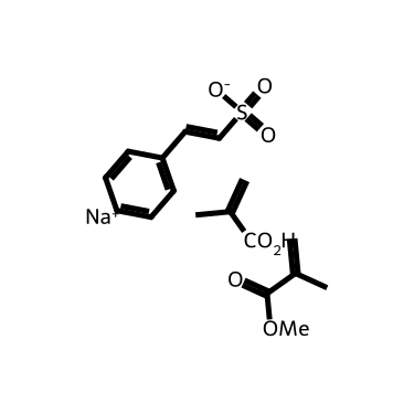 C=C(C)C(=O)O.C=C(C)C(=O)OC.O=S(=O)([O-])C=Cc1ccccc1.[Na+]